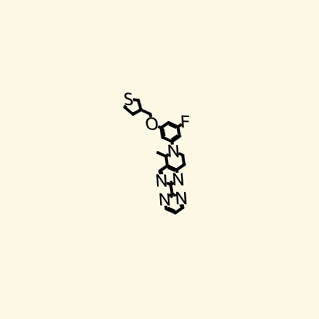 CC1c2cnc(-c3ncccn3)nc2CCN1c1cc(F)cc(OCC2CCSC2)c1